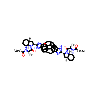 COC(=O)NC(C(=O)N1[C@H](c2nc3cc(-c4cc5ccc4CCc4ccc(c(-c6ccc7[nH]c([C@@H]8C[C@@H]9CCCC[C@@H]9N8C(=O)[C@H](NC(=O)OC)C(C)C)nc7c6)c4)CC5)ccc3[nH]2)C[C@@H]2CCCC[C@@H]21)C(C)C